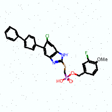 COc1ccc(COP(=O)(O)CSc2nc3cc(-c4ccc(-c5ccccc5)cc4)c(Cl)cc3[nH]2)cc1F